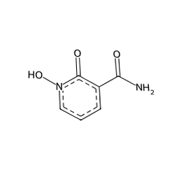 NC(=O)c1cccn(O)c1=O